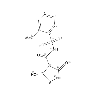 COc1ccccc1S(=O)(=O)NC(=O)C1C(=O)NCC1O